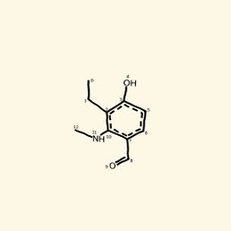 CCc1c(O)ccc(C=O)c1NC